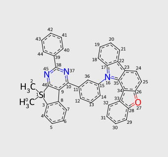 C[Si]1(C)c2ccccc2-c2c(-c3cccc(-n4c5ccccc5c5ccc6oc7ccccc7c6c54)c3)nc(-c3ccccc3)nc21